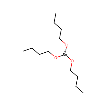 CCCC[O][SnH]([O]CCCC)[O]CCCC